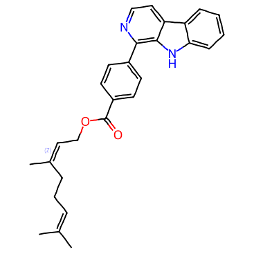 CC(C)=CCC/C(C)=C\COC(=O)c1ccc(-c2nccc3c2[nH]c2ccccc23)cc1